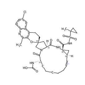 Cc1nc2ccc(Cl)cc2c2c1O[C@]1(CC2)C[C@H]2C(=O)N[C@]3(C(=O)NS(=O)(=O)C4(C)CC4)C[C@H]3/C=C\CCCCC[C@H](NC(=O)O)C(=O)N2C1